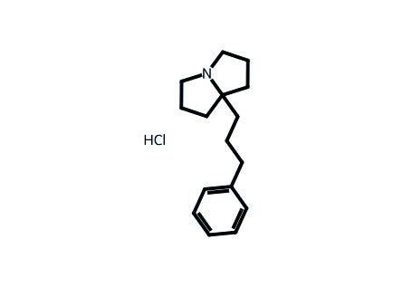 Cl.c1ccc(CCCC23CCCN2CCC3)cc1